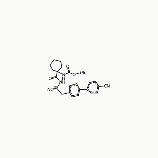 CC(C)(C)OC(=O)NC1(C(=O)N[C@H](C#N)Cc2ccc(-c3ccc(C#N)cc3)cc2)CCCCC1